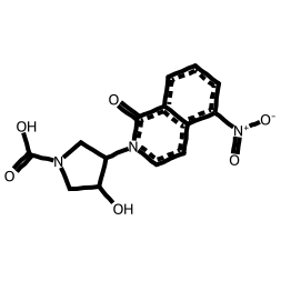 O=C(O)N1CC(O)C(n2ccc3c([N+](=O)[O-])cccc3c2=O)C1